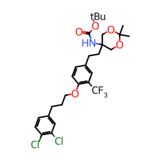 CC(C)(C)OC(=O)NC1(CCc2ccc(OCCCc3ccc(Cl)c(Cl)c3)c(C(F)(F)F)c2)COC(C)(C)OC1